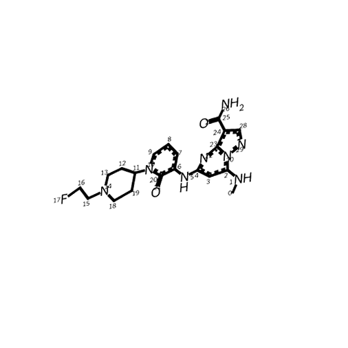 CNc1cc(Nc2cccn(C3CCN(CCF)CC3)c2=O)nc2c(C(N)=O)cnn12